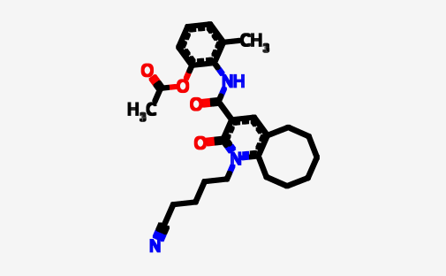 CC(=O)Oc1cccc(C)c1NC(=O)c1cc2c(n(CCCCC#N)c1=O)CCCCCC2